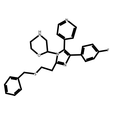 Fc1ccc(-c2nc(CCSCc3ccccc3)n(C3CNCCO3)c2-c2ccncc2)cc1